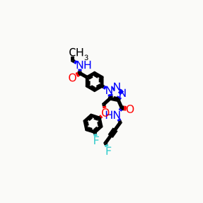 CCNC(=O)c1ccc(-n2nnc(C(=O)NCC#CCF)c2COc2cccc(F)c2)cc1